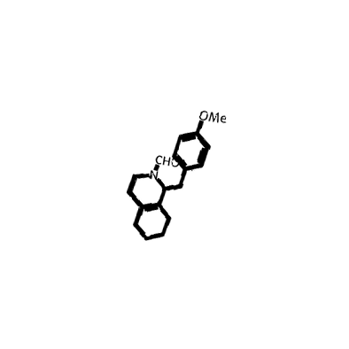 COc1ccc(CC2C3=C(CCCC3)CCN2C=O)cc1